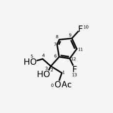 CC(=O)OCC(O)(CO)c1ccc(F)cc1F